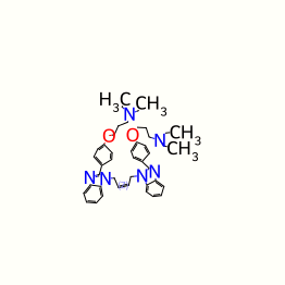 CCN(CC)CCCOc1ccc(-c2nc3ccccc3n2C/C=C\Cn2c(-c3ccc(OCCCN(CC)CC)cc3)nc3ccccc32)cc1